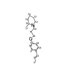 CC=Cc1ccc(OCCCN2CCCCC2C)cc1